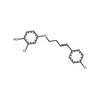 Oc1ccc(OCCC=Cc2ccc(Cl)cc2)cc1Cl